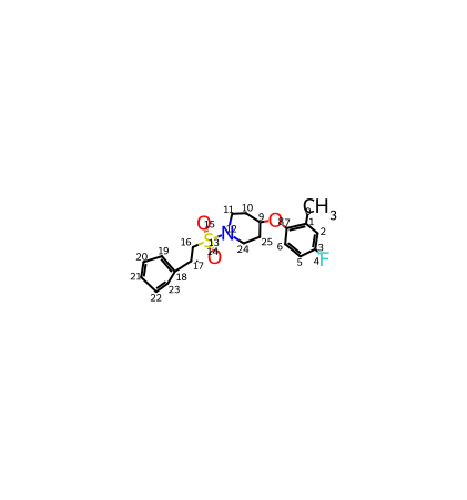 Cc1cc(F)ccc1OC1CCN(S(=O)(=O)C[CH]c2ccccc2)CC1